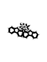 C[Si](C)(C)[Zr]([SiH3])([Cl])([Cl])([c]1cccc2c1Cc1ccccc1-2)([c]1cccc2c1Cc1ccccc1-2)[Si](C)(C)C